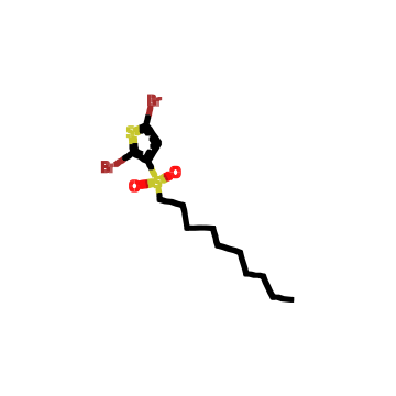 CCCCCCCCCCS(=O)(=O)c1cc(Br)sc1Br